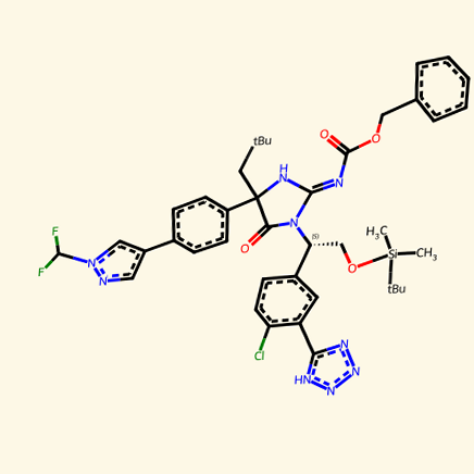 CC(C)(C)CC1(c2ccc(-c3cnn(C(F)F)c3)cc2)NC(=NC(=O)OCc2ccccc2)N([C@H](CO[Si](C)(C)C(C)(C)C)c2ccc(Cl)c(-c3nnn[nH]3)c2)C1=O